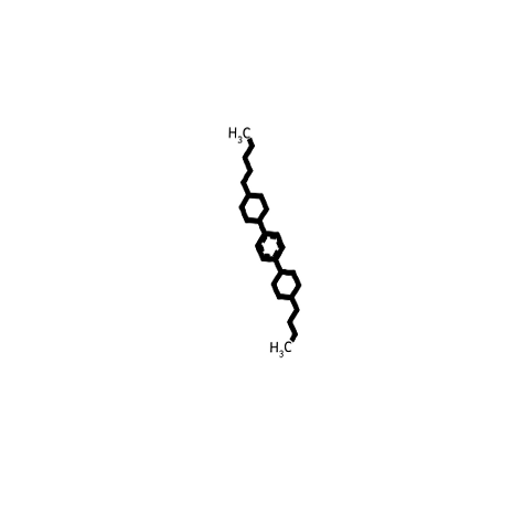 CCCCCC1CCC(c2ccc(C3CCC(CCCC)CC3)cc2)CC1